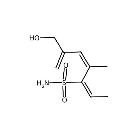 C=C(/C=C(C)\C(=C/C)S(N)(=O)=O)CO